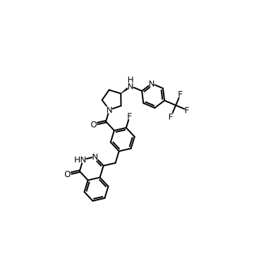 O=C(c1cc(Cc2n[nH]c(=O)c3ccccc23)ccc1F)N1CC[C@@H](Nc2ccc(C(F)(F)F)cn2)C1